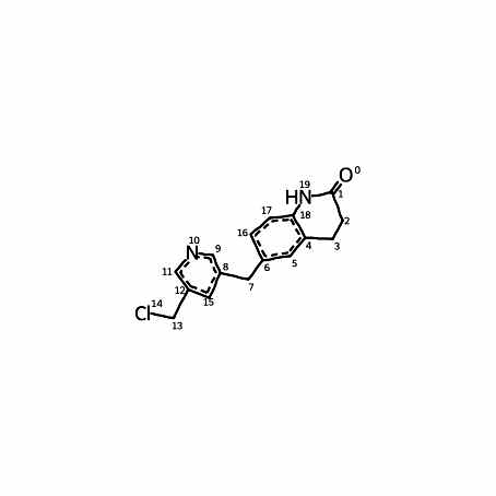 O=C1CCc2cc(Cc3cncc(CCl)c3)ccc2N1